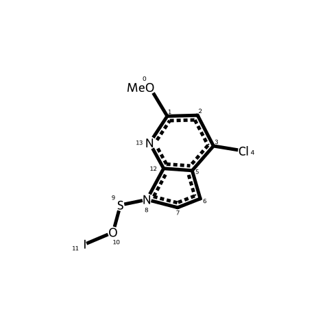 COc1cc(Cl)c2ccn(SOI)c2n1